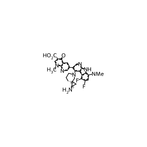 CNc1cc(F)c(F)c2c1[nH]c1ncc(-c3cnc4c(c3)c(=O)c(C(=O)O)cn4C)c(N3CCC[C@@]4(C[C@H]4N)C3)c12